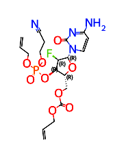 C=CCOC(=O)OC[C@H]1O[C@@H](n2ccc(N)nc2=O)[C@H](F)[C@@H]1OP(=O)(OCC=C)OCCC#N